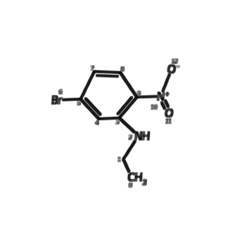 CCNc1cc(Br)ccc1[N+](=O)[O-]